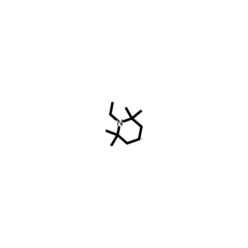 CCN1C(C)(C)C[CH]CC1(C)C